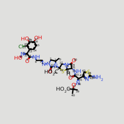 CC1CN(/N=C/CNC(=O)/C(=N\O)c2ccc(O)c(O)c2Cl)C(=O)N1[C@@]1(C(=O)O)CN2C(=O)[C@@H](NC(=O)/C(=N\OC(C)(C)C(=O)O)c3csc(N)n3)[C@H]2S1